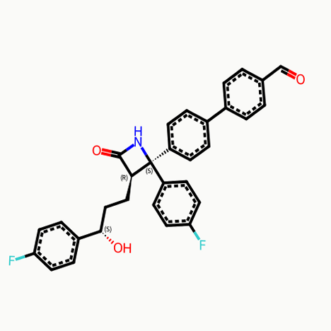 O=Cc1ccc(-c2ccc([C@@]3(c4ccc(F)cc4)NC(=O)[C@@H]3CC[C@H](O)c3ccc(F)cc3)cc2)cc1